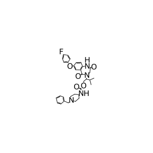 CC(C)C(COC(=O)NC1CCN(Cc2ccccc2)CC1)N1CC(=O)Nc2ccc(Oc3ccc(F)cc3)cc2C1=O